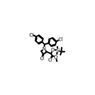 COC(=O)C(O[Si](C)(C)C(C)(C)C)C1C(=O)CN1C(c1ccc(Cl)cc1)c1ccc(Cl)cc1